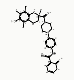 Cc1c(C)c2c(c(C)c1O)CC[C@@](C)(C(=O)N1CCN(c3ccc(NC(=N)C4=CC=CCC4=S)cc3)CC1)O2